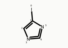 IC1=CN=C=N1